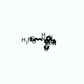 CC(C)(N)OC(=O)CCCCNc1cc(N2CCOCC2)nc2c(-c3ccn[nH]3)nccc12